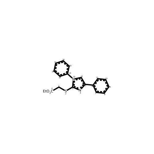 CCOC(=O)CSc1nc(-c2ccccc2)cn1-c1ccccc1